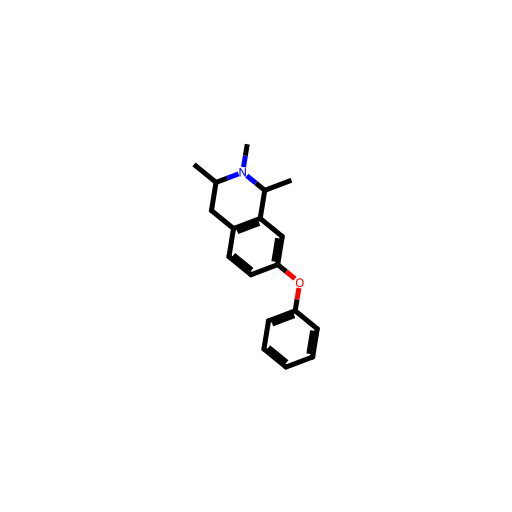 CC1Cc2ccc(Oc3ccccc3)cc2C(C)N1C